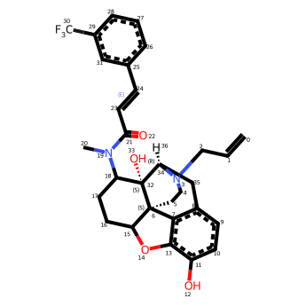 C=CCN1CC[C@]23c4c5ccc(O)c4OC2CCC(N(C)C(=O)/C=C/c2cccc(C(F)(F)F)c2)[C@@]3(O)[C@H]1C5